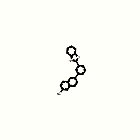 N#Cc1ccc2cc(-c3cccc(-c4nc5ccccc5[nH]4)c3)ccc2c1